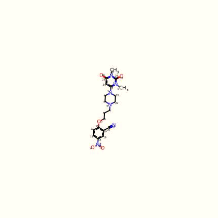 Cn1c(N2CCN(CCCOc3ccc([N+](=O)[O-])cc3C#N)CC2)cc(=O)n(C)c1=O